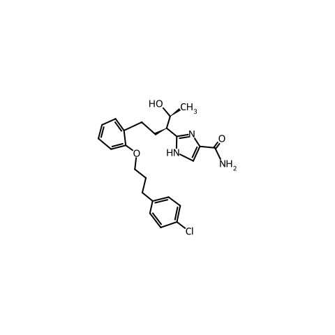 C[C@H](O)[C@H](CCc1ccccc1OCCCc1ccc(Cl)cc1)c1nc(C(N)=O)c[nH]1